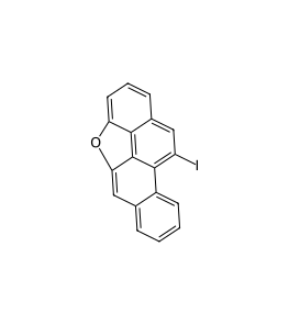 Ic1cc2cccc3oc4cc5ccccc5c1c4c23